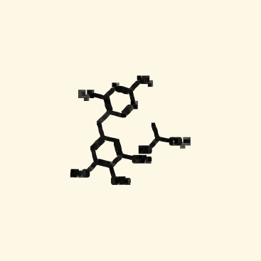 CC(O)C(=O)O.COc1cc(Cc2cnc(N)nc2N)cc(OC)c1OC